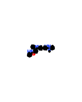 CCN1c2ccccc2NC1C1C=CC(c2ccc(C3Nc4ccccc4-c4c3ccc3c4NC(c4ccccc4)O3)cc2)=CC1